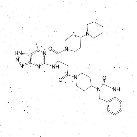 Cc1nc(NC(CC(=O)N2CCC(N3Cc4ccccc4NC3=O)CC2)C(=O)N2CCC(N3CCCCC3)CC2)nc2nn[nH]c12